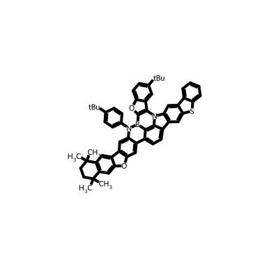 CC(C)(C)c1ccc(N2B3c4oc5ccc(C(C)(C)C)cc5c4-n4c5cc6c(cc5c5ccc(c3c54)-c3cc4oc5cc7c(cc5c4cc32)C(C)(C)CCC7(C)C)sc2ccccc26)cc1